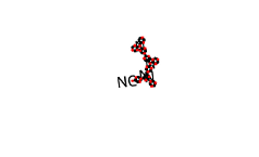 N#Cc1ccc(-c2cc(-c3ccccc3)nc(-c3ccc(-n4c5ccccc5c5cc(-c6ccc7c(c6)c6ccccc6n7-c6ccccc6)ccc54)cc3)n2)cc1